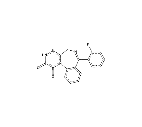 O=c1[nH]nc2n(c1=O)-c1ccccc1C(c1ccccc1F)=NC2